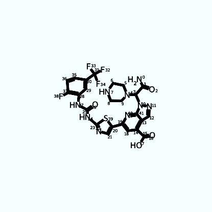 NC(=O)C(N1CCNCC1)n1ncc2c(C(=O)O)cc(-c3cnc(NC(=O)Nc4cc(C(F)(F)F)ccc4F)s3)nc21